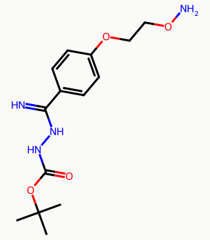 CC(C)(C)OC(=O)NNC(=N)c1ccc(OCCON)cc1